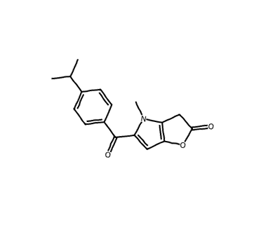 CC(C)c1ccc(C(=O)c2cc3c(n2C)CC(=O)O3)cc1